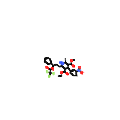 CCOC(=O)C1=C(CCC(OC(=O)C(F)(F)F)c2ccccc2)NC(C)=C(C(=O)OC)C1c1cccc([N+](=O)[O-])c1